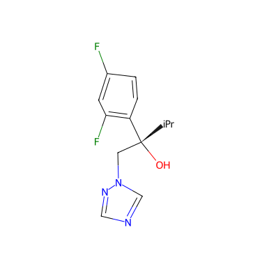 CC(C)[C@@](O)(Cn1cncn1)c1ccc(F)cc1F